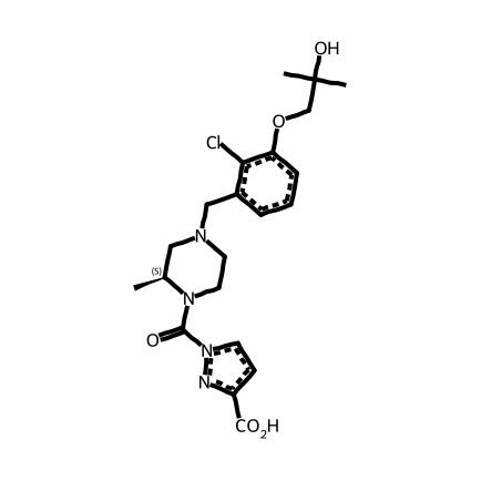 C[C@H]1CN(Cc2cccc(OCC(C)(C)O)c2Cl)CCN1C(=O)n1ccc(C(=O)O)n1